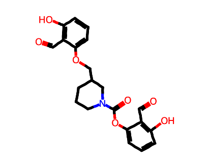 O=Cc1c(O)cccc1OCC1CCCN(C(=O)Oc2cccc(O)c2C=O)C1